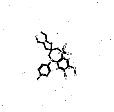 CCCCC1(CCCC)CN(c2ccc(C)cc2)c2cc(Br)c(OC)cc2S(=O)(=O)C1